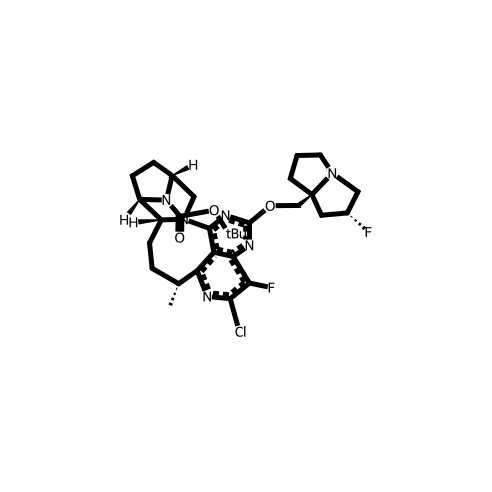 C[C@@H]1CC[C@@H]2[C@@H]3CC[C@H](CN2c2nc(OC[C@@]45CCCN4C[C@H](F)C5)nc4c(F)c(Cl)nc1c24)N3C(=O)OC(C)(C)C